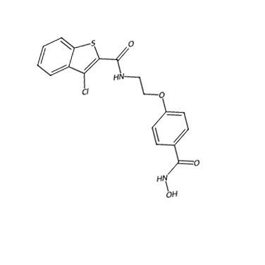 O=C(NO)c1ccc(OCCNC(=O)c2sc3ccccc3c2Cl)cc1